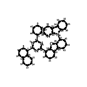 c1ccc(-c2nc(-c3cccc4ccccc34)nc(-c3cccc4c3oc3c(-n5c6ccccc6c6cccnc65)cccc34)n2)cc1